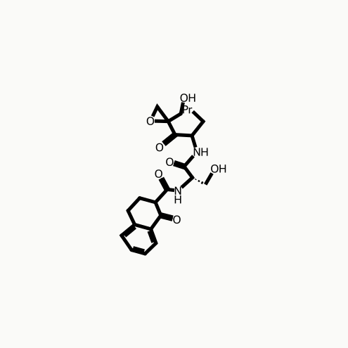 CC(C)CC(NC(=O)[C@H](CO)NC(=O)C1CCc2ccccc2C1=O)C(=O)C1(CO)CO1